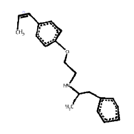 C/C=C\c1ccc(OCCNC(C)Cc2ccccc2)cc1